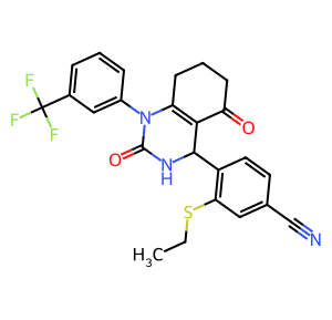 CCSc1cc(C#N)ccc1C1NC(=O)N(c2cccc(C(F)(F)F)c2)C2=C1C(=O)CCC2